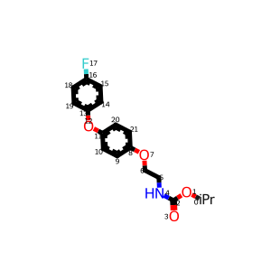 CC(C)OC(=O)NCCOc1ccc(Oc2ccc(F)cc2)cc1